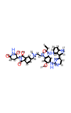 C=CC(=O)Nc1cc(Nc2nccc(-c3cn(C)c4ccccc34)n2)c(OC)cc1N(C)CCN(C)Cc1ccc2c(c1)C(=O)N(C1CCC(=O)NC1=O)C2=O